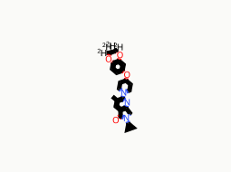 [2H]C1([2H])Oc2ccc(OC3CCN(c4nc5c(cc4C)C(=O)N(C4CC4)C5)CC3)cc2OC1([2H])[2H]